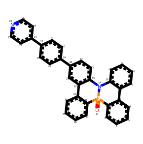 O=P12c3ccccc3-c3ccccc3N1c1ccc(-c3ccc(-c4ccncc4)cc3)cc1-c1ccccc12